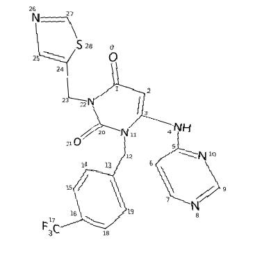 O=c1cc(Nc2ccncn2)n(Cc2ccc(C(F)(F)F)cc2)c(=O)n1Cc1cncs1